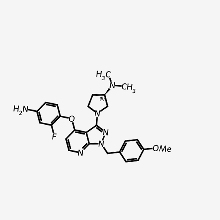 COc1ccc(Cn2nc(N3CC[C@@H](N(C)C)C3)c3c(Oc4ccc(N)cc4F)ccnc32)cc1